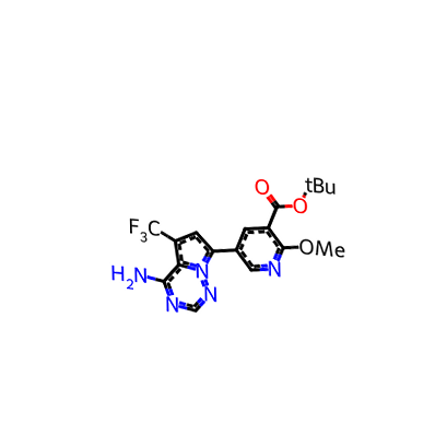 COc1ncc(-c2cc(C(F)(F)F)c3c(N)ncnn23)cc1C(=O)OC(C)(C)C